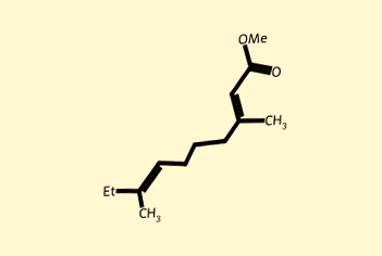 CCC(C)=CCCCC(C)=CC(=O)OC